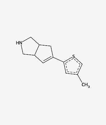 Cc1csc(C2=CC3CNCC3C2)c1